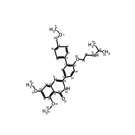 COSc1ccc(-c2cc(-c3nc4cc(OC)cc(OC)c4c(=O)[nH]3)ccc2OCCNC(C)C)cc1